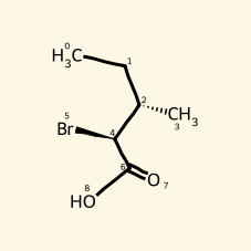 CC[C@H](C)[C@H](Br)C(=O)O